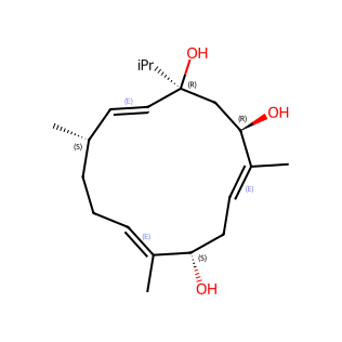 C/C1=C\C[C@H](O)/C(C)=C/CC[C@H](C)/C=C/[C@](O)(C(C)C)C[C@H]1O